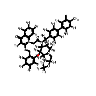 [2H]c1c([2H])c(F)c(F)c(CSc2c([2H])c(=O)c3c([2H])c([2H])c([2H])c([2H])c3n2CC(=O)N(C([2H])([2H])c2c([2H])c([2H])c(-c3c([2H])c([2H])c(C(F)(F)F)c(C)c3[2H])c([2H])c2[2H])C2([2H])C([2H])([2H])C([2H])([2H])N(CC([2H])([2H])OC([2H])([2H])[2H])C([2H])([2H])C2([2H])[2H])c1[2H]